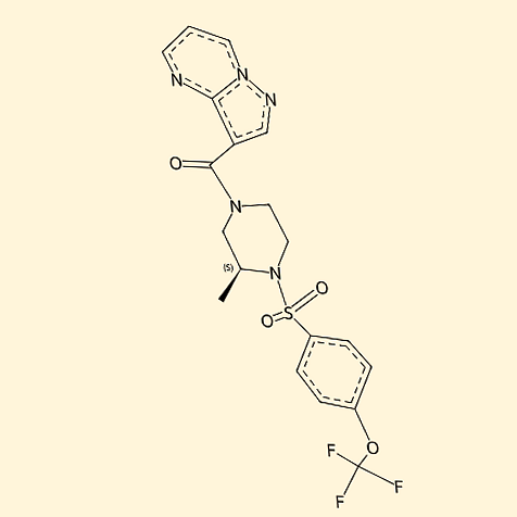 C[C@H]1CN(C(=O)c2cnn3cccnc23)CCN1S(=O)(=O)c1ccc(OC(F)(F)F)cc1